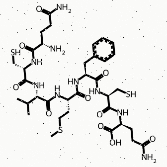 CSCC[C@H](NC(=O)[C@@H](NC(=O)[C@H](CS)NC(=O)[C@@H](N)CCC(N)=O)C(C)C)C(=O)N[C@@H](Cc1ccccc1)C(=O)N[C@@H](CS)C(=O)N[C@@H](CCC(N)=O)C(=O)O